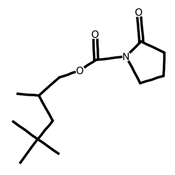 CC(COC(=O)N1CCCC1=O)CC(C)(C)C